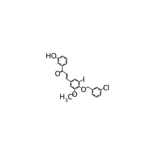 COc1cc(/C=C/C(=O)c2cccc(O)c2)cc(I)c1OCc1cccc(Cl)c1